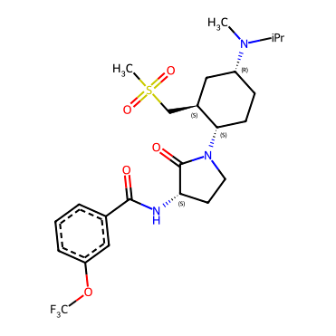 CC(C)N(C)[C@@H]1CC[C@H](N2CC[C@H](NC(=O)c3cccc(OC(F)(F)F)c3)C2=O)[C@@H](CS(C)(=O)=O)C1